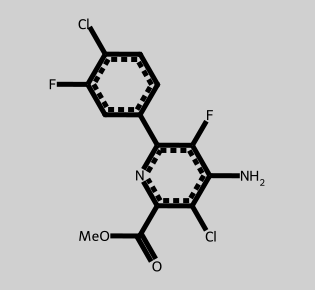 COC(=O)c1nc(-c2ccc(Cl)c(F)c2)c(F)c(N)c1Cl